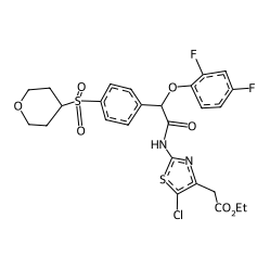 CCOC(=O)Cc1nc(NC(=O)C(Oc2ccc(F)cc2F)c2ccc(S(=O)(=O)C3CCOCC3)cc2)sc1Cl